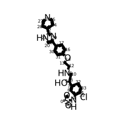 CS(=O)(=O)Nc1cc([C@@H](O)CNCCOc2ccc(-c3c[nH]c(-c4ccncc4)n3)cc2)ccc1Cl